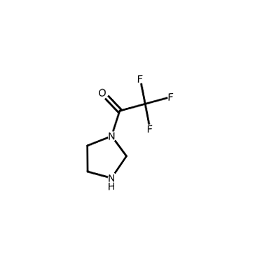 O=C(N1CCNC1)C(F)(F)F